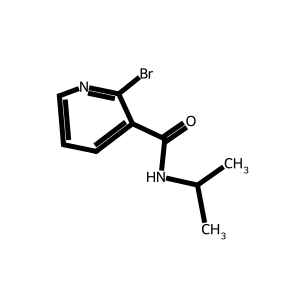 CC(C)NC(=O)c1cccnc1Br